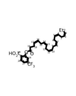 CC/C=C\C/C=C\C/C=C\C/C=C\C/C=C\C/C=C\CCC(=O)Oc1cc(C(F)(F)F)ccc1C(=O)O